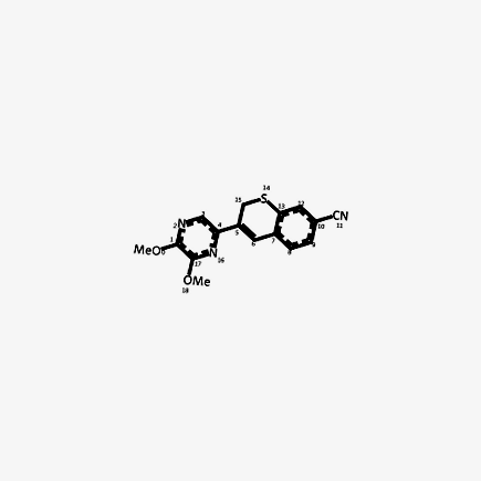 COc1ncc(C2=Cc3ccc(C#N)cc3SC2)nc1OC